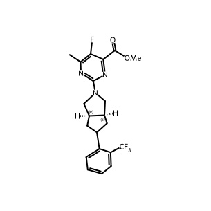 COC(=O)c1nc(N2C[C@H]3CC(c4ccccc4C(F)(F)F)C[C@H]3C2)nc(C)c1F